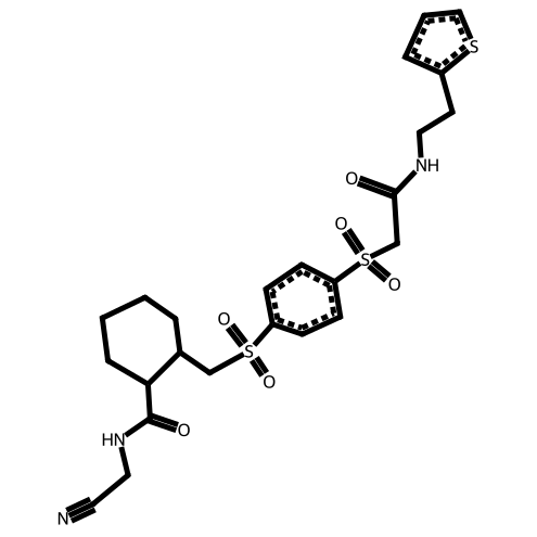 N#CCNC(=O)C1CCCCC1CS(=O)(=O)c1ccc(S(=O)(=O)CC(=O)NCCc2cccs2)cc1